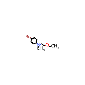 CCOCCN(C)c1ccc(Br)cc1